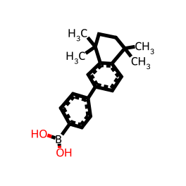 CC1(C)CCC(C)(C)c2cc(-c3ccc(B(O)O)cc3)ccc21